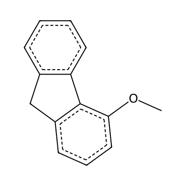 COc1cccc2c1-c1ccccc1C2